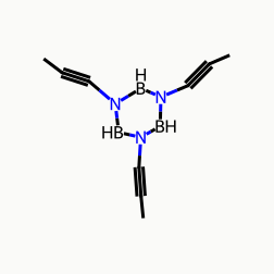 CC#CN1BN(C#CC)BN(C#CC)B1